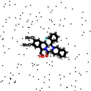 COc1cc2c(cc1OC)C(CO)N(C(=O)[C@@H]1Cc3ccccc3CN1Cc1ccccc1F)CC2